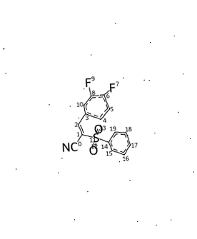 N#C/C(=C/c1ccc(F)c(F)c1)S(=O)(=O)c1ccccc1